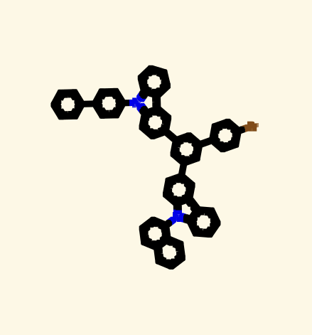 Brc1ccc(-c2cc(-c3ccc4c(c3)c3ccccc3n4-c3ccc(-c4ccccc4)cc3)cc(-c3ccc4c(c3)c3ccccc3n4-c3cccc4ccccc34)c2)cc1